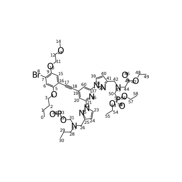 CCCCOc1cc(Br)c(OCCOC)cc1C#Cc1cc(-n2ccc(CN(CCC)COP=O)n2)nc(-n2ccc(CN(CC(=O)OCC)CP(=O)(OCC)OCC)n2)c1